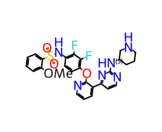 COc1ccccc1S(=O)(=O)Nc1ccc(Oc2ncccc2-c2ccnc(N[C@H]3CCCNC3)n2)c(F)c1F